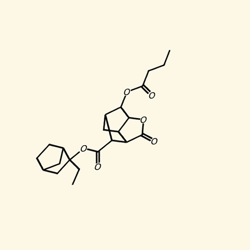 CCCC(=O)OC1C2CC3C1OC(=O)C3C2C(=O)OC1(CC)CC2CCC1C2